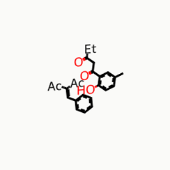 CC(=O)C(=Cc1ccccc1)C(C)=O.CCC(=O)CC(=O)c1cc(C)ccc1O